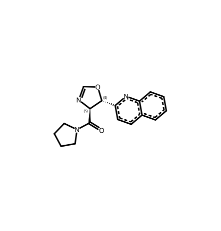 O=C([C@H]1N=CO[C@@H]1c1ccc2ccccc2n1)N1CCCC1